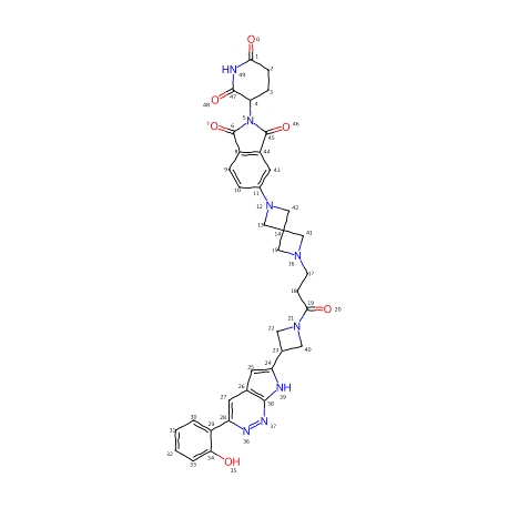 O=C1CCC(N2C(=O)c3ccc(N4CC5(CN(CCC(=O)N6CC(c7cc8cc(-c9ccccc9O)nnc8[nH]7)C6)C5)C4)cc3C2=O)C(=O)N1